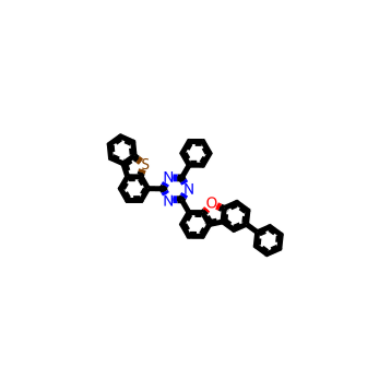 c1ccc(-c2ccc3oc4c(-c5nc(-c6ccccc6)nc(-c6cccc7c6sc6ccccc67)n5)cccc4c3c2)cc1